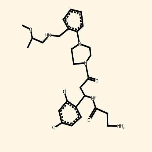 COC(C)CNCc1ccccc1N1CCN(C(=O)CC(NC(=O)CCN)c2ccc(Cl)cc2Cl)CC1